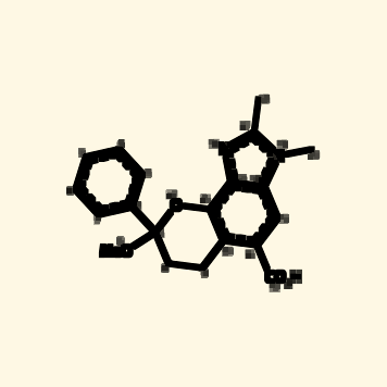 COC1(c2ccccc2)CCc2c(C(=O)O)cc3c(nc(C)n3C)c2O1